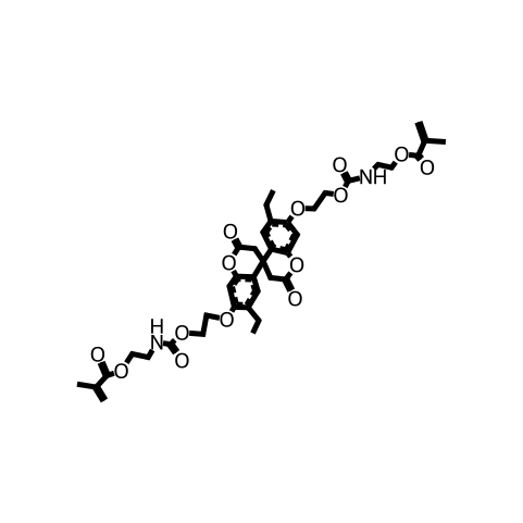 C=C(C)C(=O)OCCNC(=O)OCCOc1cc2c(cc1CC)C1(CC(=O)O2)CC(=O)Oc2cc(OCCOC(=O)NCCOC(=O)C(=C)C)c(CC)cc21